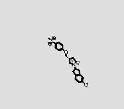 C[C@@H]1C[C@H](COc2ccc(S(C)(=O)=O)cc2)CN1C1Cc2ccc(Cl)cc2C1